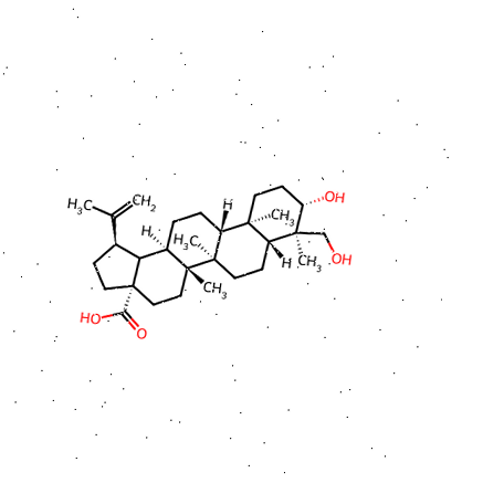 C=C(C)[C@@H]1CC[C@]2(C(=O)O)CC[C@]3(C)[C@H](CC[C@@H]4[C@@]5(C)CC[C@H](O)[C@@](C)(CO)[C@@H]5CC[C@]43C)C12